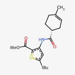 COC(=O)c1sc(C(C)(C)C)cc1NC(=O)[C@H]1CC=C(C)CC1